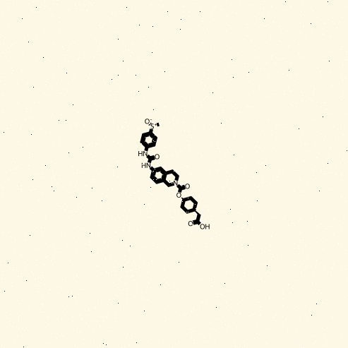 C[S+]([O-])c1ccc(NC(=O)Nc2ccc3c(c2)CCN(C(=O)O[C@H]2CC[C@H](CC(=O)O)CC2)C3)cc1